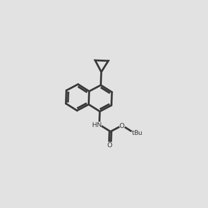 CC(C)(C)OC(=O)Nc1ccc(C2CC2)c2ccccc12